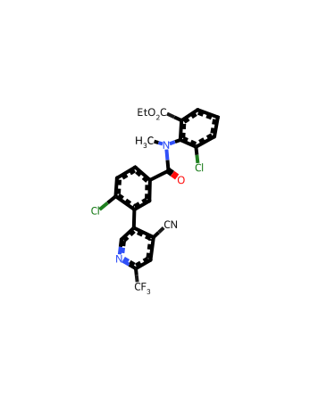 CCOC(=O)c1cccc(Cl)c1N(C)C(=O)c1ccc(Cl)c(-c2cnc(C(F)(F)F)cc2C#N)c1